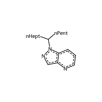 CCCCCCCC(CCCCC)n1ncc2ncccc21